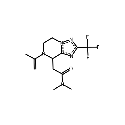 C=C(C)N1CCn2nc(C(F)(F)F)nc2C1CC(=O)N(C)C